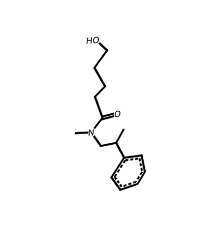 CC(CN(C)C(=O)CCCCO)c1ccccc1